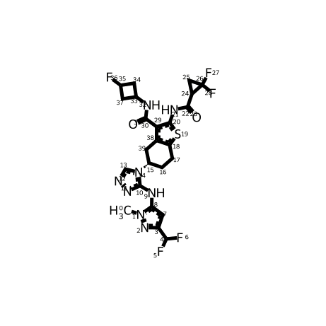 Cn1nc(C(F)F)cc1Nc1nncn1[C@H]1CCc2sc(NC(=O)C3CC3(F)F)c(C(=O)NC3CC(F)C3)c2C1